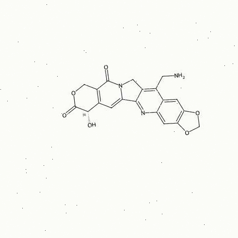 NCc1c2c(nc3cc4c(cc13)OCO4)-c1cc3c(c(=O)n1C2)COC(=O)[C@H]3O